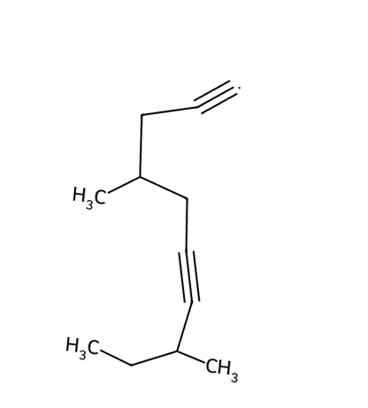 [C]#CCC(C)CC#CC(C)CC